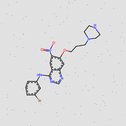 O=[N+]([O-])c1cc2c(Nc3cccc(Br)c3)ncnc2cc1OCCCN1CCNCC1